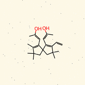 C=CC1=C(/C=C(\C)O)C2(CC(C)(C)C(C)=C2/C=C(\C)O)CC1(C)C